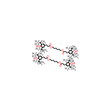 CC(C)(C)c1cc(CCC(=O)OCCCCCCOC(=O)CCc2cc(C(C)(C)C)c(O)c(C(C)(C)C)c2)cc(C(C)(C)C)c1O.CC(C)(C)c1cc(CCC(=O)OCCCCCCOC(=O)CCc2cc(C(C)(C)C)c(O)c(C(C)(C)C)c2)cc(C(C)(C)C)c1O